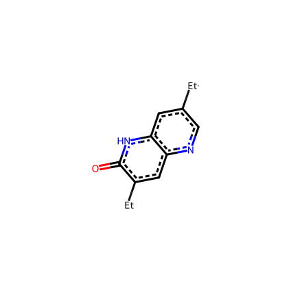 C[CH]c1cnc2cc(CC)c(=O)[nH]c2c1